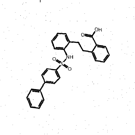 O=C(O)c1ccccc1CCc1ccccc1NS(=O)(=O)c1ccc(-c2ccccc2)cc1